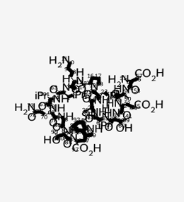 CC(C)C[C@H](NC(=O)[C@H](CCCCN)NC(=O)[C@@H]1CCCN1C(=O)[C@H](CC(C)C)NC(=O)[C@H](CS)NC(=O)[C@@H](NC(=O)[C@@H](NC(=O)[C@H](CCC(=O)O)NC(=O)[C@H](C)NC(=O)[C@@H](N)CC(=O)O)[C@@H](C)O)C(C)C)C(=O)N[C@H](C(=O)N[C@@H](CCC(N)=O)C(=O)NCC(=O)N[C@H](C(=O)N[C@@H](Cc1c[nH]c2ccccc12)C(=O)O)[C@@H](C)O)C(C)C